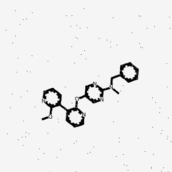 COc1ncccc1-c1cccnc1Oc1cnc(N(C)Cc2ccccc2)nc1